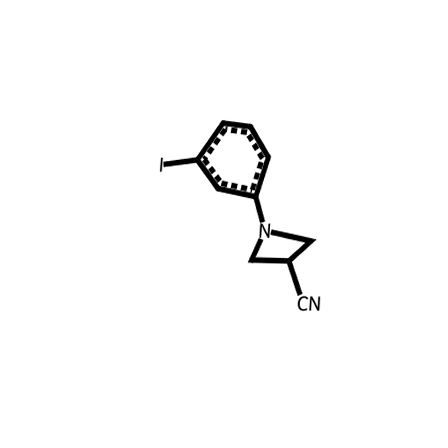 N#CC1CN(c2cccc(I)c2)C1